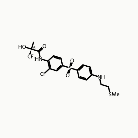 CSCCNc1ccc(S(=O)(=O)c2ccc(NC(=O)[C@@](C)(O)C(F)(F)F)c(Cl)c2)cc1